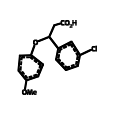 COc1ccc(OC(CC(=O)O)c2cccc(Cl)c2)cc1